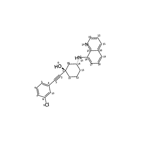 O[C@]1(C#Cc2cccc(Cl)c2)CCC[C@@H](Nc2cccc3cccnc23)C1